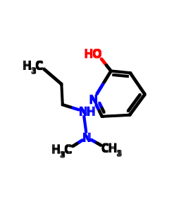 CCCNN(C)C.Oc1ccccn1